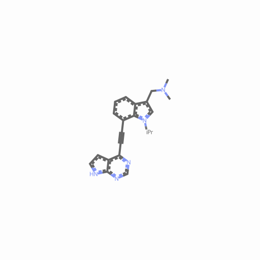 CC(C)n1cc(CN(C)C)c2cccc(C#Cc3ncnc4[nH]ccc34)c21